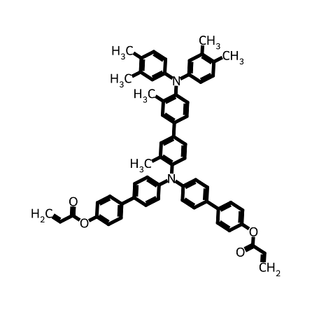 C=CC(=O)Oc1ccc(-c2ccc(N(c3ccc(-c4ccc(OC(=O)C=C)cc4)cc3)c3ccc(-c4ccc(N(c5ccc(C)c(C)c5)c5ccc(C)c(C)c5)c(C)c4)cc3C)cc2)cc1